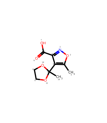 Cc1onc(C(=O)O)c1C1(C)OCCO1